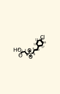 O=C(O)CCS(=O)(=O)CC=Cc1ccc(Cl)cc1